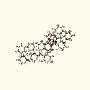 c1ccc(C2(c3ccccc3)c3ccccc3-c3ccc(N(c4ccccc4-c4ccc5c6ccccc6n(-c6cccc7c6C(c6ccccc6)(c6ccccc6)c6ccccc6-7)c5c4)c4cccc5ccccc45)cc32)cc1